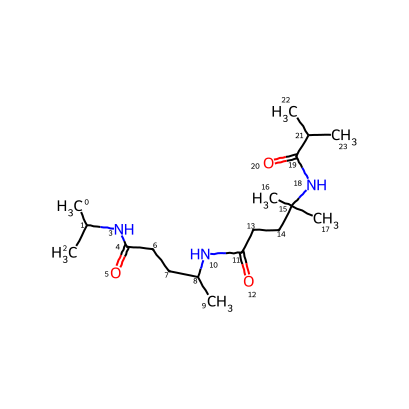 CC(C)NC(=O)CCC(C)NC(=O)CCC(C)(C)NC(=O)C(C)C